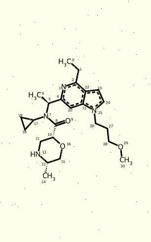 CCc1nc([C@H](C)N(C(=O)[C@H]2CN[C@@H](C)CO2)C2CC2)cc2c1ccn2CCCOC